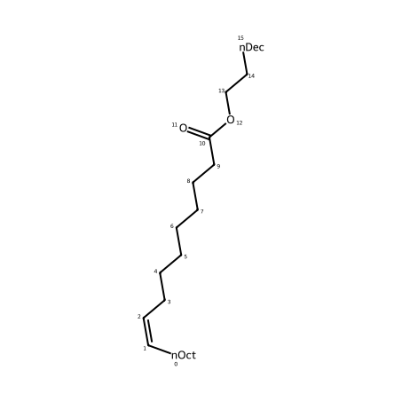 CCCCCCCC/C=C\CCCCCCCC(=O)OCCCCCCCCCCCC